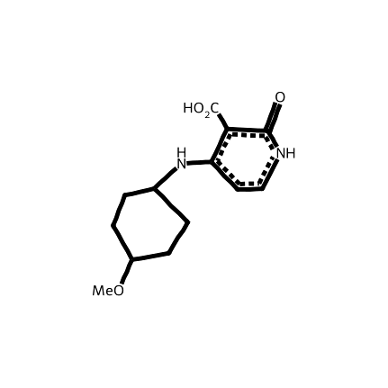 COC1CCC(Nc2cc[nH]c(=O)c2C(=O)O)CC1